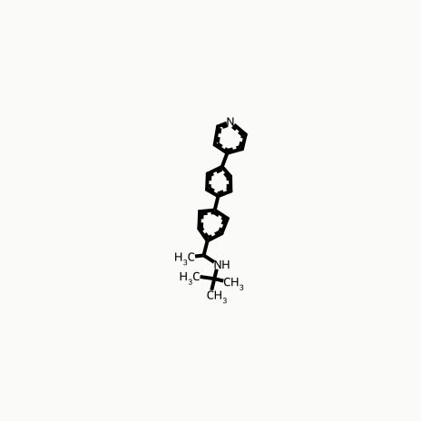 CC(NC(C)(C)C)c1ccc(-c2ccc(-c3ccncc3)cc2)cc1